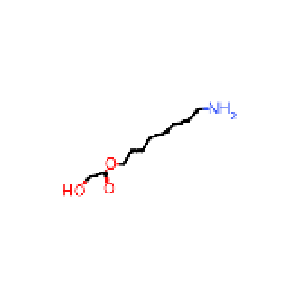 NCCCCCCCCOC(=O)CO